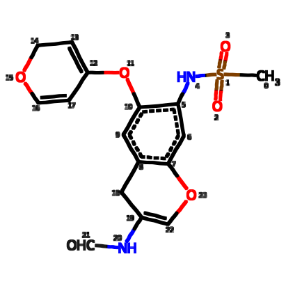 CS(=O)(=O)Nc1cc2c(cc1OC1=CCOC=C1)CC(NC=O)=CO2